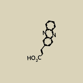 O=C(O)/C=C/c1ccc2nc3ccccc3nc2c1